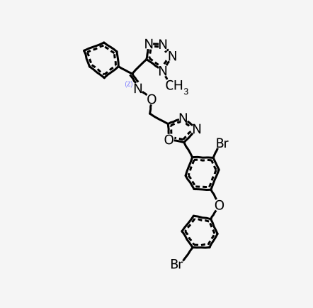 Cn1nnnc1/C(=N\OCc1nnc(-c2ccc(Oc3ccc(Br)cc3)cc2Br)o1)c1ccccc1